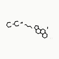 CC[C@H]1[C@@H](O)[C@@H]2[C@H](CC[C@]3(C)[C@@H](CCCCOC(=O)N4CCC(N5CCCCC5)CC4)CC[C@@H]23)[C@@]2(C)CC[C@@H](O)C[C@@H]12